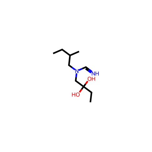 CCC(C)CN(C=N)CC(O)(O)CC